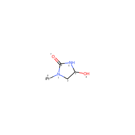 CC(C)N1CC(O)NC1=O